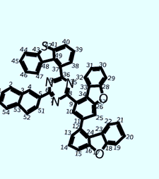 c1ccc2cc(-c3nc(-c4cc(-c5cccc6oc7ccccc7c56)cc5oc6ccccc6c45)nc(-c4cccc5sc6ccccc6c45)n3)ccc2c1